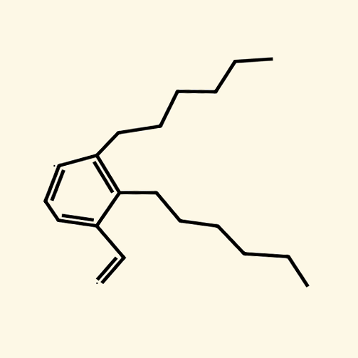 [CH]=Cc1cc[c]c(CCCCCC)c1CCCCCC